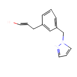 OC=CCc1cccc(Cn2cccn2)c1